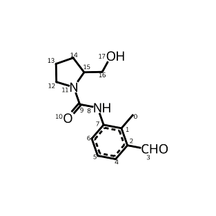 Cc1c(C=O)cccc1NC(=O)N1CCCC1CO